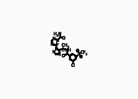 C[C@H](NC(=O)c1cc(Cl)cc(S(=O)(=O)C(F)(F)F)c1)c1ncnn1-c1cc(C(N)=O)ncn1